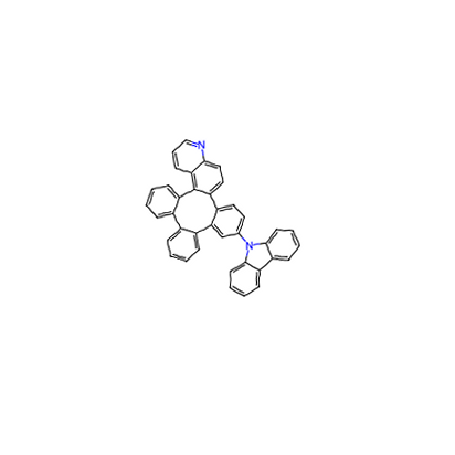 c1ccc2c(c1)-c1cc(-n3c4ccccc4c4ccccc43)ccc1-c1ccc3ncccc3c1-c1ccccc1-2